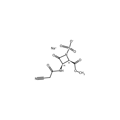 COC(=O)[C@H]1[C@@H](NC(=O)CC#N)C(=O)N1S(=O)(=O)[O-].[Na+]